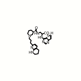 O=C(O)C(CNC(=O)[C@@H]1CCCN(CCCc2ccc3c(n2)NCCC3)C1)Nc1ncnc2ccsc12